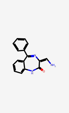 NC=C1N=C(c2ccccc2)c2ccccc2NC1=O